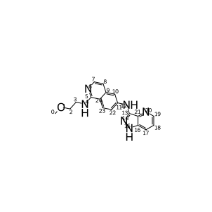 COCCNc1nccc2cc(Nc3n[nH]c4cccnc34)ccc12